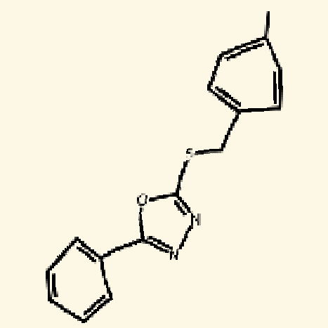 Cc1ccc(CSc2nnc(-c3ccccc3)o2)cc1